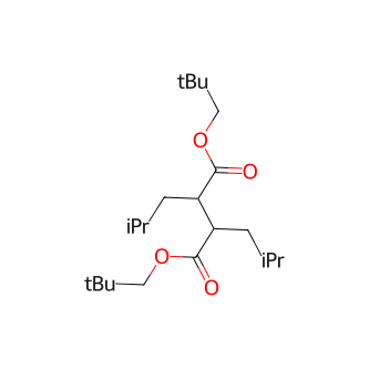 CC(C)CC(C(=O)OCC(C)(C)C)C(CC(C)C)C(=O)OCC(C)(C)C